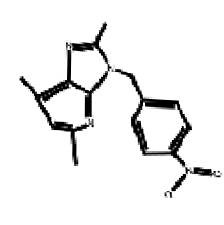 Cc1cc(C)c2nc(C)n(Cc3ccc([N+](=O)[O-])cc3)c2n1